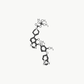 COc1c(C2=CCN(C(=O)OC(C)(C)C)CC2)ccc2ncnc(Nc3ccc(Oc4ccn5ncnc5c4)c(C)c3)c12